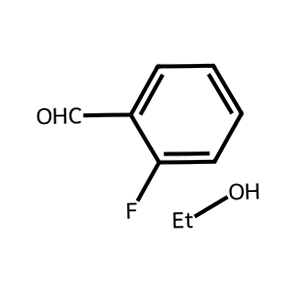 CCO.O=Cc1ccccc1F